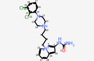 NC(=O)NC1=C[N+]2(CCCCN3CCN(c4cccc(Cl)c4Cl)CC3)C=CC=CC2=C1